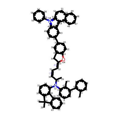 Cc1ccccc1-c1cccc(N(c2cccc3c2-c2ccccc2C3(C)C)C(C)/C=C\C=C2/Cc3cc(-c4ccc5c(c4)c4c6ccccc6ccc4n5-c4ccccc4)ccc3O2)c1C